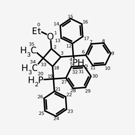 CCOC1C(C(P)(c2ccccc2)c2ccccc2)C(C(P)(c2ccccc2)c2ccccc2)C1(C)C